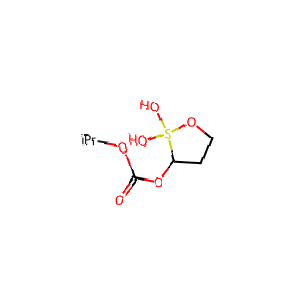 CC(C)OC(=O)OC1CCOS1(O)O